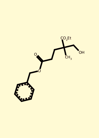 CCOC(=O)C(C)(CO)CCC(=O)OCc1ccccc1